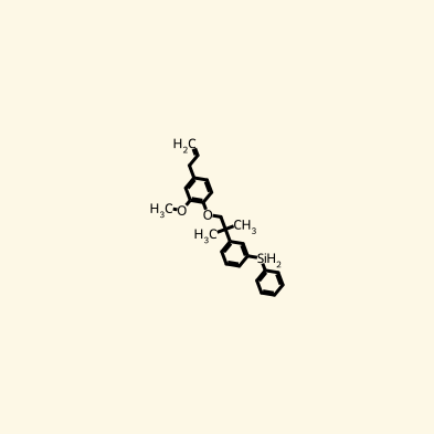 C=CCc1ccc(OCC(C)(C)c2cccc([SiH2]c3ccccc3)c2)c(OC)c1